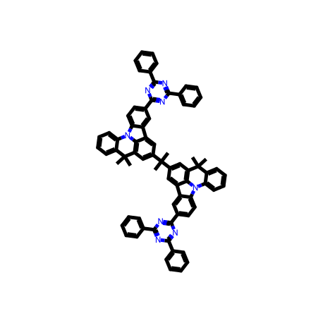 CC(C)(c1cc2c3c(c1)c1cc(-c4nc(-c5ccccc5)nc(-c5ccccc5)n4)ccc1n3-c1ccccc1C2(C)C)c1cc2c3c(c1)c1cc(-c4nc(-c5ccccc5)nc(-c5ccccc5)n4)ccc1n3-c1ccccc1C2(C)C